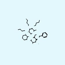 CCCCOC1[C@H](OCCCC)C(C)O[C@@H](OC2[C@H](C)CCC[C@H]2O[C@@H]2O[C@H]3COC(c4ccccc4)O[C@@H]3C(O)C2O)[C@H]1OCCCC